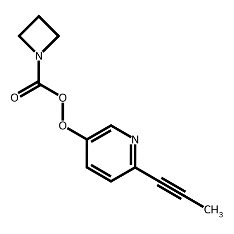 CC#Cc1ccc(OOC(=O)N2CCC2)cn1